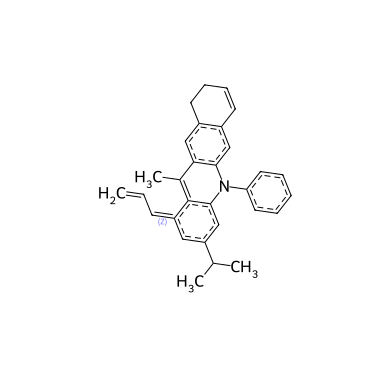 C=C/C=c1/cc(C(C)C)cc2c1=C(C)c1cc3c(cc1N2c1ccccc1)C=CCC3